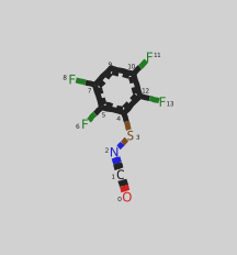 O=C=NSc1c(F)c(F)cc(F)c1F